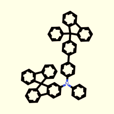 c1ccc(N(c2ccc(-c3ccc(C4(c5ccccc5)c5ccccc5-c5ccccc54)cc3)cc2)c2ccc3c(c2)C2(c4ccccc4-c4ccccc42)c2ccccc2-3)cc1